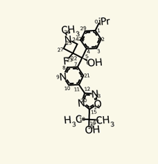 CC(C)c1ccc([C@](O)(c2cncc(-c3noc(C(C)(C)O)n3)c2)C2(F)CN(C)C2)cc1